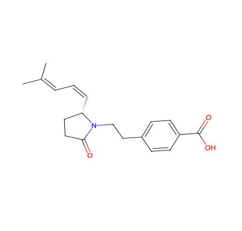 CC(C)=C/C=C\[C@H]1CCC(=O)N1CCc1ccc(C(=O)O)cc1